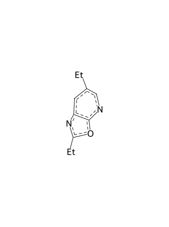 CCc1cnc2oc(CC)nc2c1